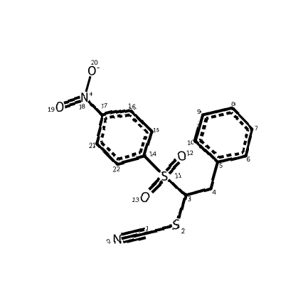 N#CSC(Cc1ccccc1)S(=O)(=O)c1ccc([N+](=O)[O-])cc1